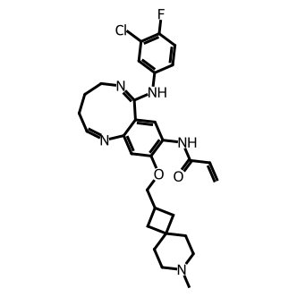 C=CC(=O)Nc1cc2c(cc1OCC1CC3(CCN(C)CC3)C1)/N=C\CCC/N=C\2Nc1ccc(F)c(Cl)c1